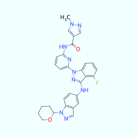 Cn1cc(C(=O)Nc2cccc(-n3nc(Nc4ccc5c(cnn5C5CCCCO5)c4)c4c(F)cccc43)n2)cn1